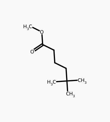 COC(=O)CCCC(C)(C)C